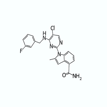 Cc1cc2c(C(N)=O)cccc2n1-c1ncc(Cl)c(NCc2cccc(F)c2)n1